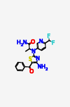 CC(C(N)=O)N(c1ccc(C(F)F)nc1)c1nc(N)c(C(=O)c2ccccc2)s1